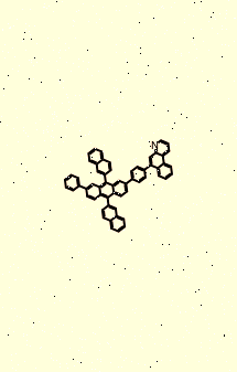 c1ccc(-c2ccc3c(-c4ccc5ccccc5c4)c4ccc(-c5ccc(-c6cc7ncccc7c7ccccc67)cc5)cc4c(-c4ccc5ccccc5c4)c3c2)cc1